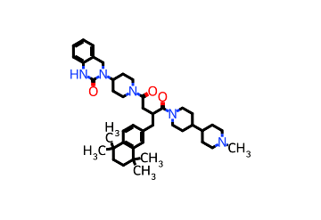 CN1CCC(C2CCN(C(=O)C(CC(=O)N3CCC(N4Cc5ccccc5NC4=O)CC3)Cc3ccc4c(c3)C(C)(C)CCC4(C)C)CC2)CC1